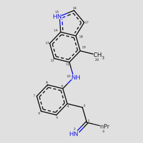 CCCC(=N)Cc1ccc[c]c1Nc1ccc2[nH]ccc2c1C